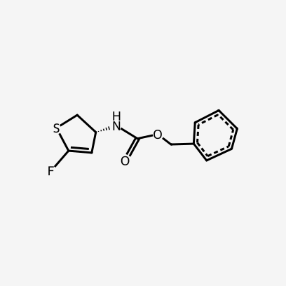 O=C(N[C@@H]1C=C(F)SC1)OCc1ccccc1